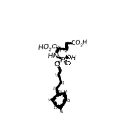 O=C(O)CC[C@H](NP(=O)(O)OCCCCc1ccccc1)C(=O)O